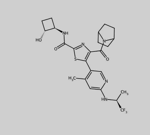 Cc1cc(N[C@@H](C)C(F)(F)F)ncc1-c1sc(C(=O)N[C@@H]2CC[C@H]2O)nc1C(=O)N1C2CCC1CC2